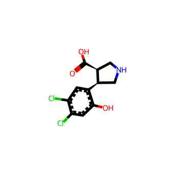 O=C(O)[C@H]1CNC[C@H]1c1cc(Cl)c(Cl)cc1O